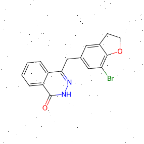 O=c1[nH]nc(Cc2cc(Br)c3c(c2)CCO3)c2ccccc12